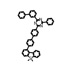 C[Si]1(C)c2ccccc2-c2c(-c3ccc(-c4ccc(-c5nc(-c6ccccc6)nc(-c6cccc(-c7ccccc7)c6)n5)cc4)cc3)cccc21